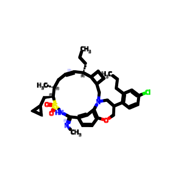 CCCc1cc(Cl)ccc1C1COc2ccc3cc2N(C1)CC1CCC1[C@@H](CCC)/C=C\C[C@@H](C)[C@H](CC1CC1)S(=O)(=O)N/C3=N/C